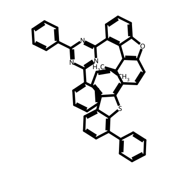 C\C=C/C=c1\c(=C2\C=Cc3oc4cccc(-c5nc(-c6ccccc6)nc(-c6ccccc6)n5)c4c3C2C)sc2c(-c3ccccc3)cccc12